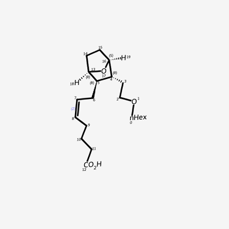 CCCCCCOCC[C@@H]1[C@@H](C/C=C\CCCC(=O)O)[C@H]2CC[C@@H]1O2